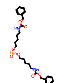 O=C(NCCCCCO[PH](=O)OCCCCCNC(=O)OCc1ccccc1)OCc1ccccc1